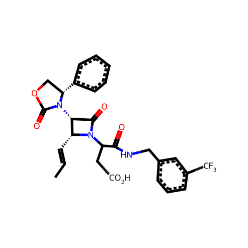 CC=C[C@@H]1[C@H](N2C(=O)OC[C@@H]2c2ccccc2)C(=O)N1C(CC(=O)O)C(=O)NCc1cccc(C(F)(F)F)c1